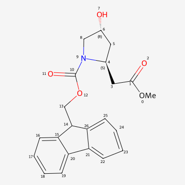 COC(=O)C[C@@H]1C[C@@H](O)CN1C(=O)OCC1c2ccccc2-c2ccccc21